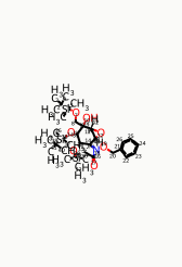 CC(C)(C)[Si](C)(C)OC[C@]1(O)[C@@H]2O[C@@H]2[C@]2(CC(=O)N2OCc2ccccc2)[C@H](O[Si](C)(C)C)[C@@H]1O[Si](C)(C)C(C)(C)C